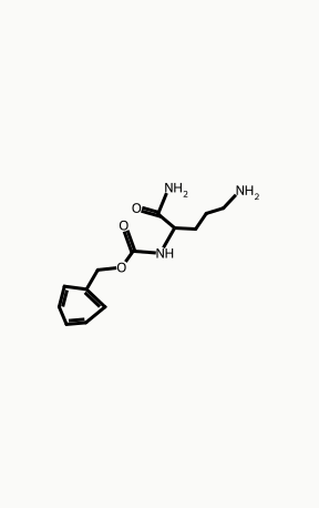 NCCCC(NC(=O)OCc1ccccc1)C(N)=O